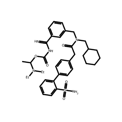 CCN(CC)C(C)OC(=O)NC(=N)c1cccc(CN(CC2CCCCC2)C(=O)Cc2ccc(-c3ccccc3S(N)(=O)=O)cc2)c1